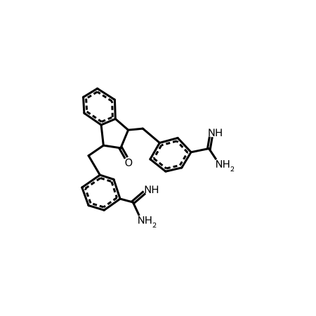 N=C(N)c1cccc(CC2C(=O)C(Cc3cccc(C(=N)N)c3)c3ccccc32)c1